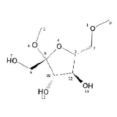 COC[C@H]1O[C@@](CO)(OC)[C@@H](O)[C@@H]1O